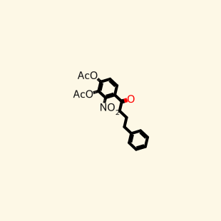 CC(=O)Oc1ccc(C(=O)CCCc2ccccc2)c([N+](=O)[O-])c1OC(C)=O